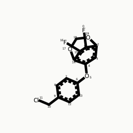 Fc1c2cc(Oc3ccc(CCl)cc3)c(c1F)OCO2